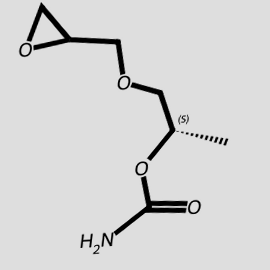 C[C@@H](COCC1CO1)OC(N)=O